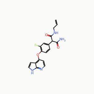 C=CCNC(=O)C(C(N)=O)c1ccc(Oc2ccnc3[nH]ccc23)c(F)c1